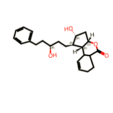 O=C1O[C@H]2C[C@@H](O)[C@H](CC[C@@H](O)CCc3ccccc3)[C@H]2C2C=CCCC12